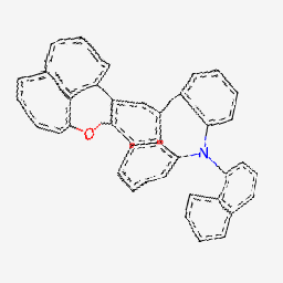 c1ccc(N(c2ccccc2-c2ccc3c(c2)-c2cccc4cccc(c24)O3)c2cccc3ccccc23)cc1